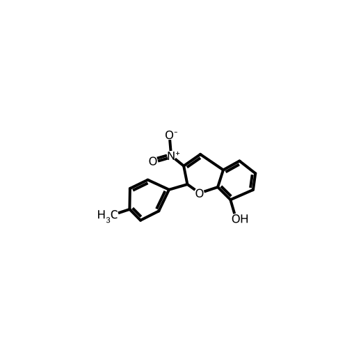 Cc1ccc(C2Oc3c(O)cccc3C=C2[N+](=O)[O-])cc1